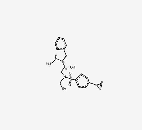 CC(C)CN(C[C@@H](O)[C@H](Cc1ccccc1)NP)S(=O)(=O)c1ccc(N2P=P2)cc1